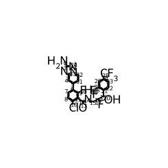 Nc1nc2cc(-c3ccc(Cl)c(C(=O)NCC(F)(F)C(O)c4ccc(C(F)(F)F)cc4F)c3F)ccn2n1